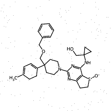 CC1=CC=C(C2(COCc3ccccc3)CCN(c3nc4c(c(NC5(CO)CC5)n3)[S+]([O-])CC4)CC2)CC1